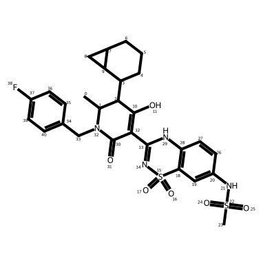 CC1C(C2CCCC3CC32)C(O)=C(C2=NS(=O)(=O)c3cc(NS(C)(=O)=O)ccc3N2)C(=O)N1Cc1ccc(F)cc1